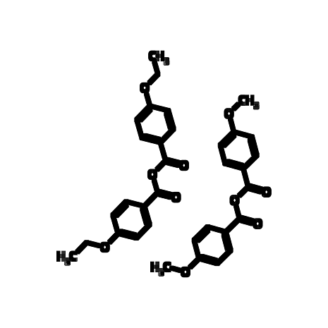 CCOc1ccc(C(=O)OC(=O)c2ccc(OCC)cc2)cc1.COc1ccc(C(=O)OC(=O)c2ccc(OC)cc2)cc1